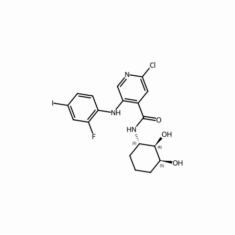 O=C(N[C@H]1CCC[C@H](O)[C@@H]1O)c1cc(Cl)ncc1Nc1ccc(I)cc1F